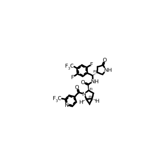 O=C1C[C@@H](C(NC(=O)[C@H]2C[C@H]3C[C@H]3N2C(=O)c2ccnc(C(F)(F)F)c2)c2cc(F)c(C(F)(F)F)cc2F)CN1